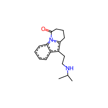 CC(C)NCCc1c2n(c3ccccc13)C(=O)CCC2